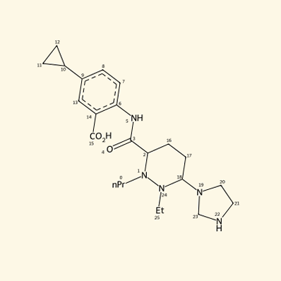 CCCN1C(C(=O)Nc2ccc(C3CC3)cc2C(=O)O)CCC(N2CCNC2)N1CC